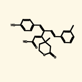 Cc1cccc(C=CC(=Cc2ccc(O)cc2)C(=CC(=O)O)C2(C)CCOC(=O)C2)c1